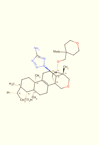 CNC1(CO[C@H]2[C@H](n3nnc(N)n3)C[C@@]34COC[C@]2(C)[C@@H]3CCC2=C4CC[C@@]3(C)[C@H](C(=O)O)[C@@](C)([C@H](C)C(C)C)CC[C@@]23C)CCOCC1